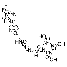 N#C[C@@H]1CC(F)(F)CN1C(=O)CNC(=O)c1ccnc2c(OCCCNC(=O)CN3CCN(CCNC(=O)CN4CCN(CC(=O)O)CCN(CC(=O)O)CCN(CC(=O)O)CC4)CC3)cccc12